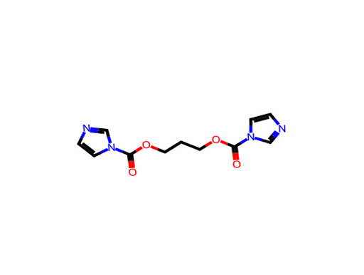 O=C(OCCCOC(=O)n1ccnc1)n1ccnc1